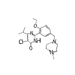 CCOc1ccc(CN2CCN(C)CC2)cc1-c1nc(C(C)C)c(Cl)c(=O)[nH]1